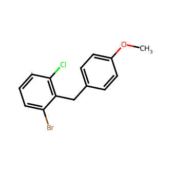 COc1ccc(Cc2c(Cl)[c]ccc2Br)cc1